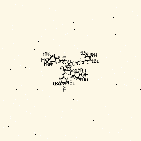 CC(C)(C)c1cc(CCOCOCC(COC(=O)CCc2cc(C(C)(C)C)c(O)c(C(C)(C)C)c2)(COC(=O)CCc2cc(C(C)(C)C)c(O)c(C(C)(C)C)c2)COC(=O)CCc2cc(C(C)(C)C)c(O)c(C(C)(C)C)c2)cc(C(C)(C)C)c1O